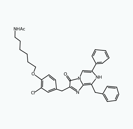 CC(=O)NCCCCCCOc1ccc(Cc2nc3c(Cc4ccccc4)[nH]c(-c4ccccc4)cn-3c2=O)cc1Cl